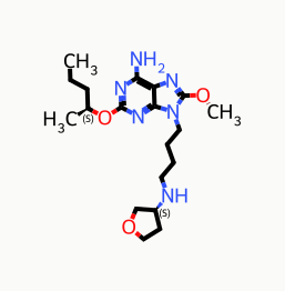 CCC[C@H](C)Oc1nc(N)c2nc(OC)n(CCCCN[C@H]3CCOC3)c2n1